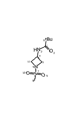 CC(C)(C)C(=O)NC1CN(S(C)(=O)=O)C1